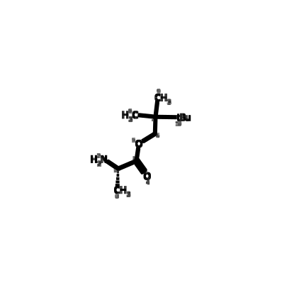 C[C@H](N)C(=O)OCC(C)(C)C(C)(C)C